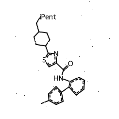 CCCC(C)CC1CCC(c2nc(C(=O)Nc3ccccc3-c3ccc(C)cc3)cs2)CC1